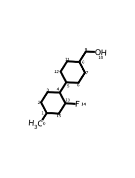 CC1CCC(C2CCC(CO)CC2)C(F)C1